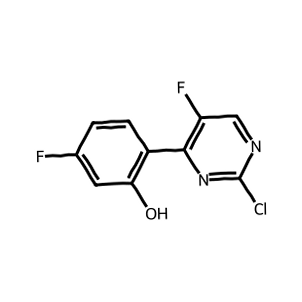 Oc1cc(F)ccc1-c1nc(Cl)ncc1F